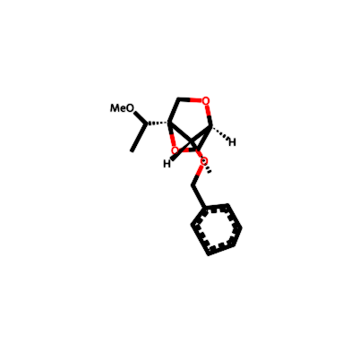 COC(C)[C@@]12CO[C@@H]([C@H](C)O1)[C@@H]2OCc1ccccc1